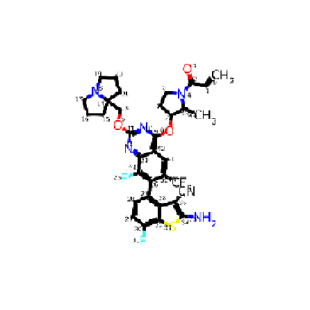 C=CC(=O)N1CCC(Oc2nc(OCC34CCCN3CCC4)nc3c(F)c(-c4ccc(F)c5sc(N)c(C#N)c45)c(C(F)(F)F)cc23)C1C